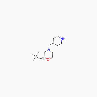 CC(C)(C)C[C@H]1CN(CC2CCNCC2)CCO1